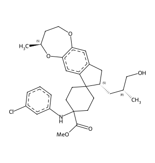 COC(=O)C1(Nc2cccc(Cl)c2)CCC2(CC1)c1cc3c(cc1C[C@@H]2C[C@@H](C)CO)OCC[C@H](C)O3